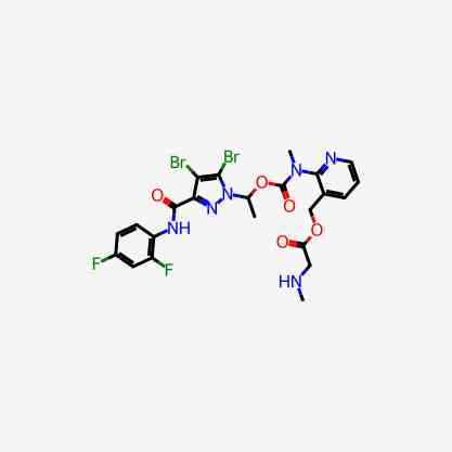 CNCC(=O)OCc1cccnc1N(C)C(=O)OC(C)n1nc(C(=O)Nc2ccc(F)cc2F)c(Br)c1Br